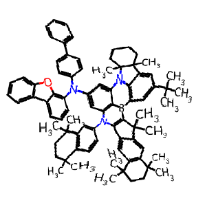 CC(C)(C)c1cc2c3c(c1)C1(C)CCCCC1(C)N3c1cc(N(c3ccc(-c4ccccc4)cc3)c3cccc4c3oc3ccccc34)cc3c1B2C1=C(c2cc4c(cc2C1(C)C)C(C)(C)CCC4(C)C)N3c1ccc2c(c1)C(C)(C)CCC2(C)C